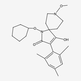 CON1CCC2(CC1)C(O)=C(c1c(C)cc(C)cc1C)C(=O)N2OC1CCCCC1